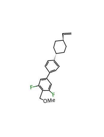 C=C[C@H]1CC[C@H](c2ccc(-c3cc(F)c(COC)c(F)c3)cc2)CC1